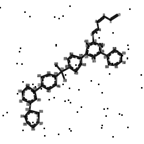 C=C/C=C\C=C\c1nc(-c2ccccc2)nc(-c2ccc(C(C)(C)c3ccc(-c4cccc(-c5ccccc5)c4)cc3)cc2)n1